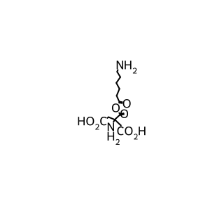 NCCCCCC(=O)OC(=O)C(N)(CC(=O)O)CC(=O)O